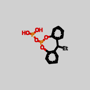 CCC1c2ccccc2OP(OP(O)O)Oc2ccccc21